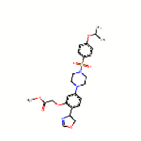 COC(=O)COc1cc(N2CCN(S(=O)(=O)c3ccc(OC(C)C)cc3)CC2)ccc1C1COC=N1